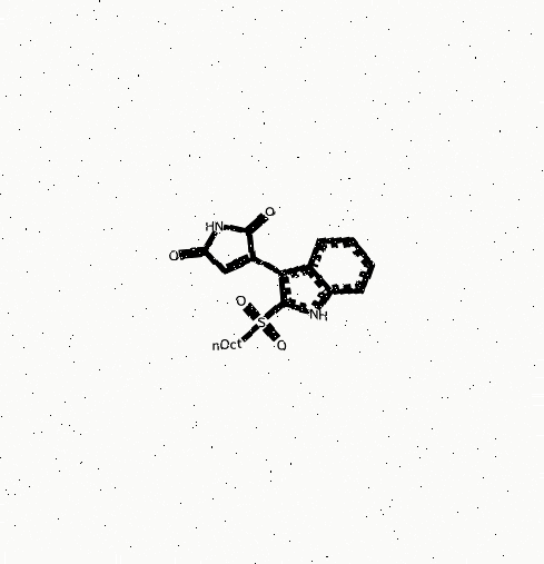 CCCCCCCCS(=O)(=O)c1[nH]c2ccccc2c1C1=CC(=O)NC1=O